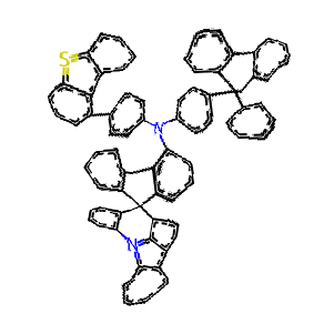 c1ccc(C2(c3ccc(N(c4ccc(-c5cccc6sc7ccccc7c56)cc4)c4cccc5c4-c4ccccc4C54c5ccccc5-n5c6ccccc6c6cccc4c65)cc3)c3ccccc3-c3ccccc32)cc1